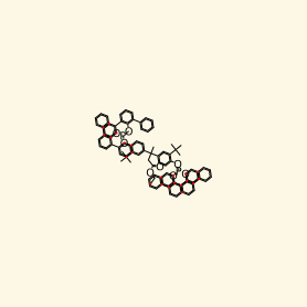 CCOC(=O)CC(C)(c1ccc(OP(Oc2c(-c3ccccc3)cccc2-c2ccccc2)Oc2c(-c3ccccc3)cccc2-c2ccccc2)c(C(C)(C)C)c1)c1ccc(OP(Oc2c(-c3ccccc3)cccc2-c2ccccc2)Oc2c(-c3ccccc3)cccc2-c2ccccc2)c(C(C)(C)C)c1